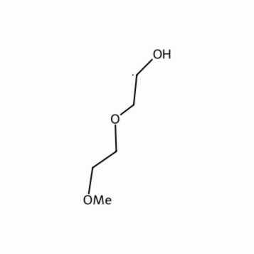 COCCOC[CH]O